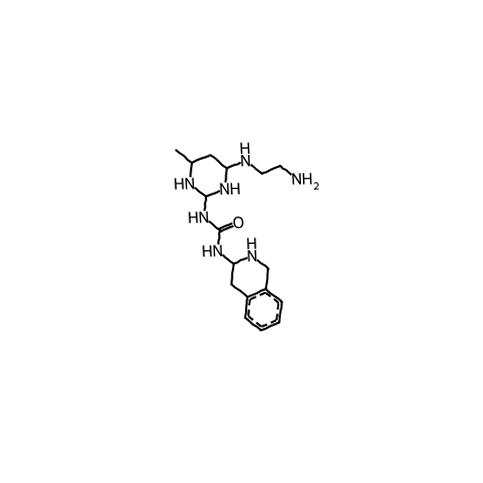 CC1CC(NCCN)NC(NC(=O)NC2Cc3ccccc3CN2)N1